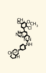 COc1cc(OC)c(Cl)c(-c2cc3cnc(Nc4ccc(N5CC[N+]6([O-])CCC[C@@H]6C5)cc4)nc3n3cnnc23)c1